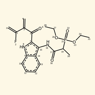 C=C(F)C(=C)C(=O)c1[nH]c2ccccc2c1NC(=O)C(C)P(=O)(OCC)OCC